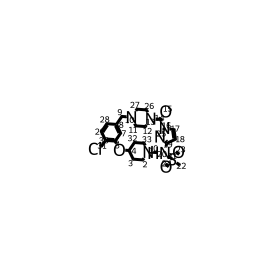 CN1CCC(Oc2cc(CN3CCN(C(=O)n4ccc(NS(C)(=O)=O)n4)CC3)ccc2Cl)CC1